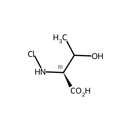 CC(O)[C@H](NCl)C(=O)O